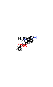 CN1CC(C(=O)COC(=O)c2ccccc2)C[C@@H]2c3cccc4[nH]cc(c34)C[C@H]21